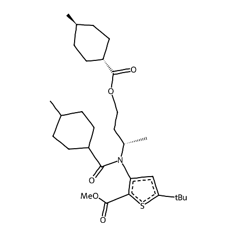 COC(=O)c1sc(C(C)(C)C)cc1N(C(=O)C1CCC(C)CC1)[C@@H](C)CCOC(=O)[C@H]1CC[C@H](C)CC1